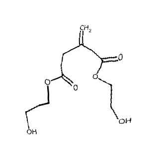 C=C(CC(=O)OCCO)C(=O)OCCO